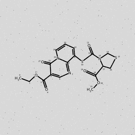 CCOC(=O)c1cnc2c(SC(=O)N3CSCC3C(=O)OC)cccn2c1=O